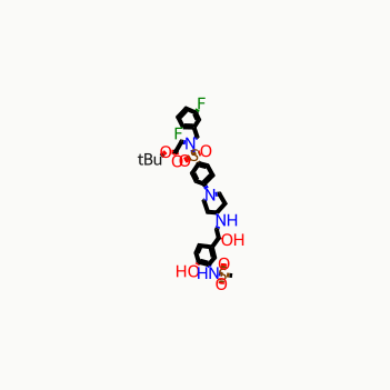 CC(C)(C)OC(=O)CN(Cc1cc(F)ccc1F)S(=O)(=O)c1ccc(N2CCC(NC[C@H](O)c3ccc(O)c(NS(C)(=O)=O)c3)CC2)cc1